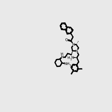 Cc1ccc(C[C@@H](N)CN2C[C@@H](C)N(C(=O)Cc3ccc4ccccc4c3)C[C@@H]2CCCNC2CCCCC2N)c(C)c1